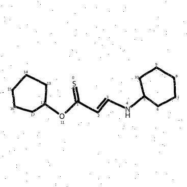 S=C(C=CNC1CCCCC1)OC1CCCCC1